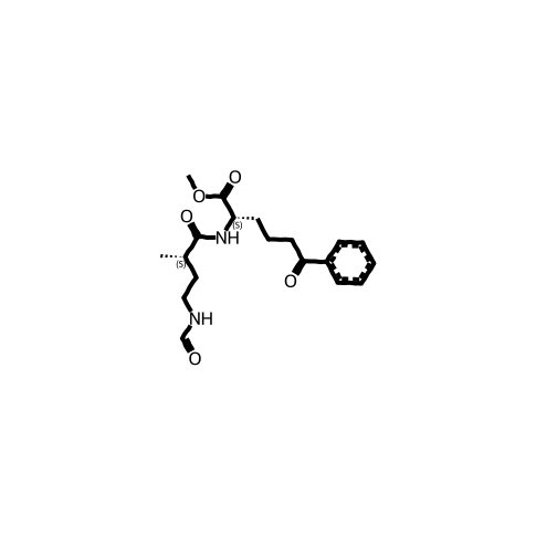 COC(=O)[C@H](CCCC(=O)c1ccccc1)NC(=O)[C@@H](C)CCNC=O